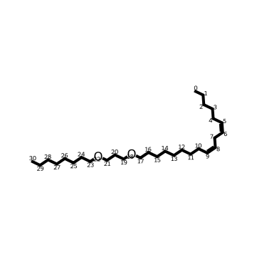 CCCCC/C=C\C/C=C\CCCCCCCCOCCCOCCCCCCCC